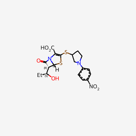 CC[C@H](O)[C@@H]1C(=O)N2C(C(=O)O)=C(SC3CCN(c4ccc([N+](=O)[O-])cc4)C3)S[C@H]12